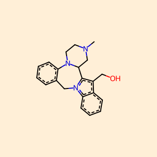 CN1CCN2c3ccccc3Cn3c(c(CO)c4ccccc43)C2C1